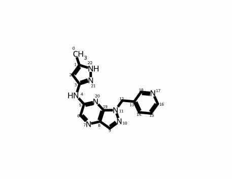 Cc1cc(Nc2cnc3cnn(Cc4cccnc4)c3n2)n[nH]1